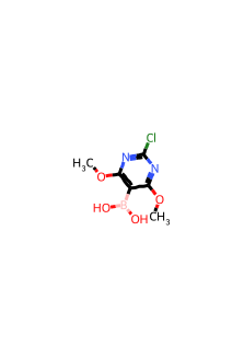 COc1nc(Cl)nc(OC)c1B(O)O